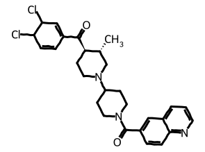 C[C@@H]1CN(C2CCN(C(=O)c3ccc4ncccc4c3)CC2)CC[C@H]1C(=O)C1=CC(Cl)C(Cl)C=C1